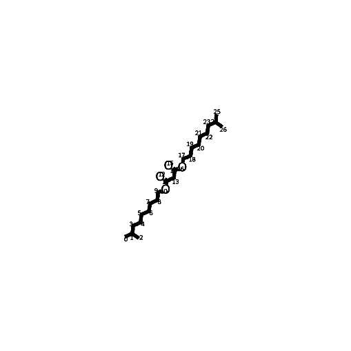 CC(C)CCCCCCCOC(=O)CC(=O)OCCCCCCCC(C)C